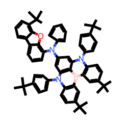 CC(C)(C)c1ccc(N2c3ccc(C(C)(C)C)cc3B3c4cc(C(C)(C)C)ccc4N(c4ccc(C(C)(C)C)cc4)c4cc(N(c5ccccc5)c5cccc6c5oc5c(C(C)(C)C)cccc56)cc2c43)cc1